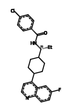 CC[C@@H](NC(=O)c1ccc(Cl)cc1)C1CCC(c2ccnc3ccc(F)cc23)CC1